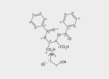 CC[C@H](N)CC#N.O=C(OC(C(=O)O)C(OC(=O)c1ccccc1)C(=O)O)c1ccccc1